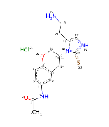 CC(=O)Nc1ccc2c(c1)C[C@@H](n1c(CCN)c[nH]c1=S)CO2.Cl